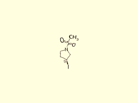 CS(=O)(=O)N1CC[C@H](I)C1